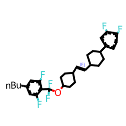 CCCCc1cc(F)c(C(F)(F)OC2CCC(/C=C/C3CCC(c4ccc(F)c(F)c4)CC3)CC2)c(F)c1